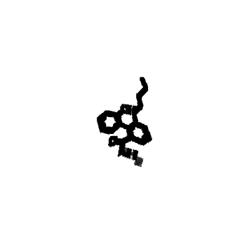 CCCCCc1cccc(C(N)=O)c1-c1ccccc1O